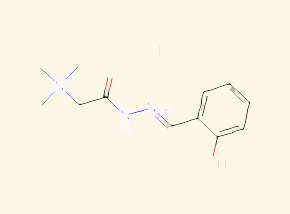 C[N+](C)(C)CC(=O)N/N=C/c1ccccc1O.[Cl-]